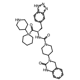 O=C(N[C@H](Cc1ccc2[nH]nnc2c1)C(=O)[N+]1(C2CCNCC2)CCCCC1)N1CCC(N2Cc3ccccc3NC2=O)CC1